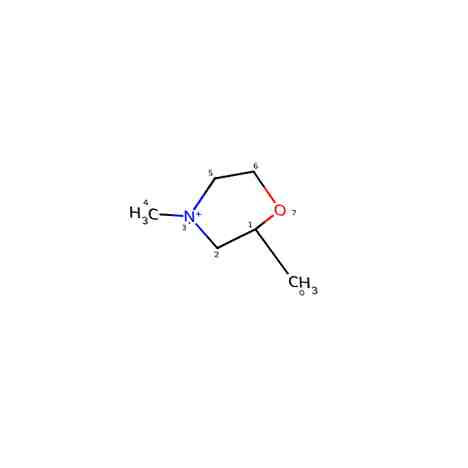 CC1C[N+](C)CCO1